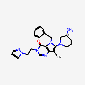 N#Cc1c(N2CCC[C@H](N)C2)n(Cc2ccccc2)c2c(=O)n(CCn3cccn3)cnc12